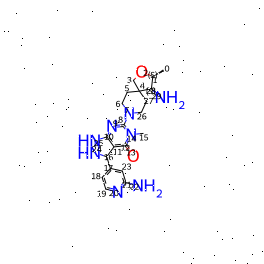 C[C@@H]1OCC2(CCN(c3nc4c(c(=O)n3C)C(c3ccnc(N)c3)NN4)CC2)[C@@H]1N